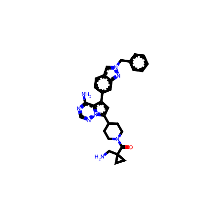 NCC1(C(=O)N2CCC(c3cc(-c4ccc5cn(Cc6ccccc6)nc5c4)c4c(N)ncnn34)CC2)CC1